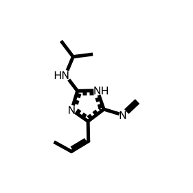 C=Nc1[nH]c(NC(C)C)nc1/C=C\C